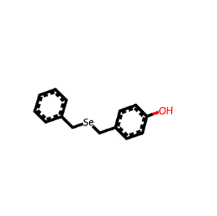 Oc1ccc(C[Se]Cc2ccccc2)cc1